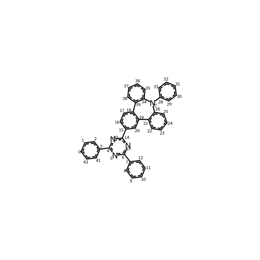 c1ccc(-c2nc(-c3ccccc3)nc(-c3ccc4c(c3)-c3ccccc3N(c3ccccc3)c3ccccc3-4)n2)cc1